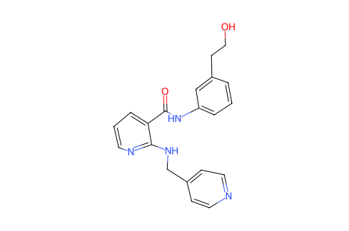 O=C(Nc1cccc(CCO)c1)c1cccnc1NCc1ccncc1